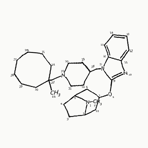 CN1C2CCC1CC(Oc1nc3ccccc3n1C1CCN(C3(C)CCCCCCC3)CC1)C2